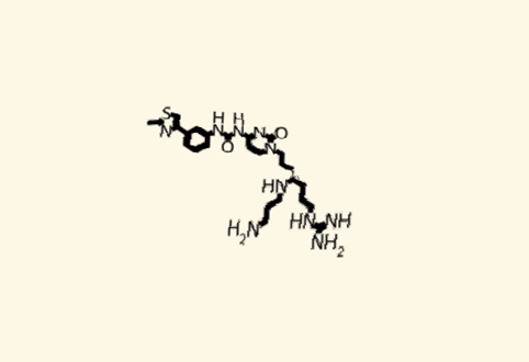 Cc1nc(-c2cccc(NC(=O)Nc3ccn(CCC[C@H](CCCNC(=N)N)NCCCN)c(=O)n3)c2)cs1